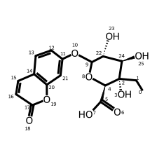 CC[C@@]1(O)[C@@H](C(=O)O)OC(Oc2ccc3ccc(=O)oc3c2)[C@H](O)[C@H]1O